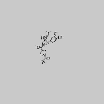 CC(C)CN[C@@H]1CN(C(=O)C2CCN(C(=O)C3(C)CC3)CC2)C[C@H]1c1ccc(Cl)c(Cl)c1